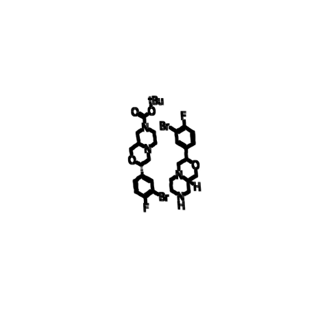 CC(C)(C)OC(=O)N1CCN2C[C@H](c3ccc(F)c(Br)c3)OCC2C1.Fc1ccc(C2CN3CCNC[C@H]3CO2)cc1Br